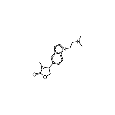 CN(C)CCn1ccc2cc(C3COC(=O)N3C)ccc21